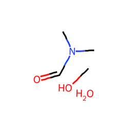 CN(C)C=O.CO.O